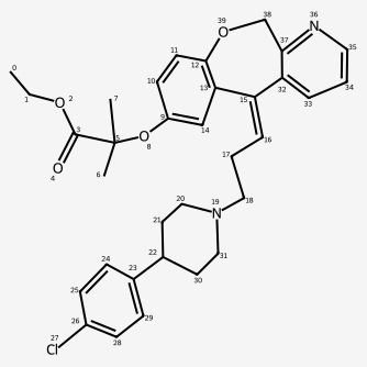 CCOC(=O)C(C)(C)Oc1ccc2c(c1)C(=CCCN1CCC(c3ccc(Cl)cc3)CC1)c1cccnc1CO2